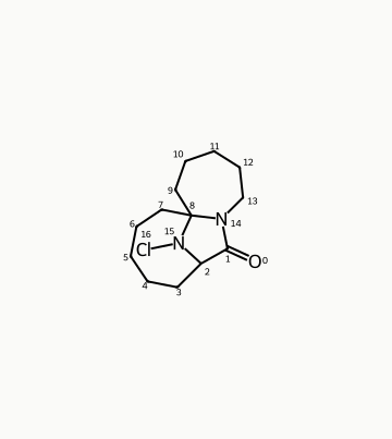 O=C1C2CCCCCC3(CCCCCN13)N2Cl